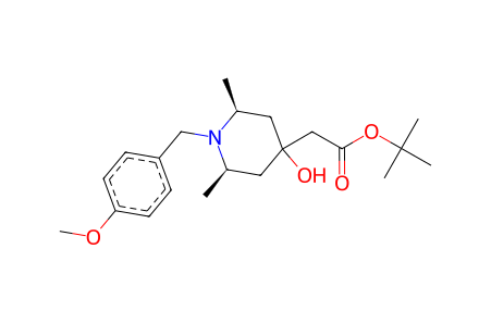 COc1ccc(CN2[C@H](C)CC(O)(CC(=O)OC(C)(C)C)C[C@@H]2C)cc1